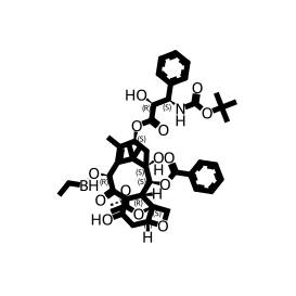 CCBO[C@H]1C(=O)[C@]2(C)C(O)C[C@H]3OC[C@@]3(OC(C)=O)[C@H]2[C@H](OC(=O)c2ccccc2)[C@]2(O)C[C@H](OC(=O)[C@H](O)[C@@H](NC(=O)OC(C)(C)C)c3ccccc3)C(C)=C1C2(C)C